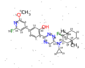 COc1cc(-c2ccc(-c3ncc(N(C4CC4)[C@@H]4C[C@@]5(C)CCC[C@H](C5)[C@@H]4F)nn3)c(O)c2)cc(F)n1